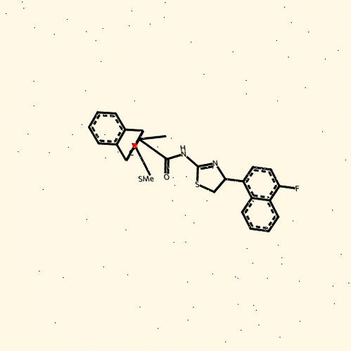 CSC1=NC2c3ccccc3C1CC2(C)C(=O)NC1=NC(c2ccc(F)c3ccccc23)CS1